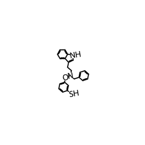 Sc1cccc(ON(CCc2c[nH]c3ccccc23)Cc2ccccc2)c1